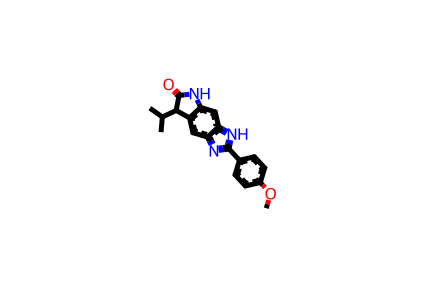 COc1ccc(-c2nc3cc4c(cc3[nH]2)NC(=O)C4C(C)C)cc1